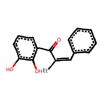 CCC(=Cc1ccccc1)C(=O)c1cccc(O)c1O